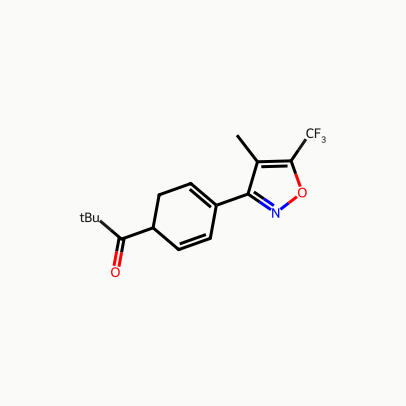 Cc1c(C2=CCC(C(=O)C(C)(C)C)C=C2)noc1C(F)(F)F